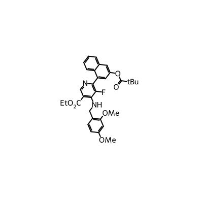 CCOC(=O)c1cnc(-c2cc(OC(=O)C(C)(C)C)cc3ccccc23)c(F)c1NCc1ccc(OC)cc1OC